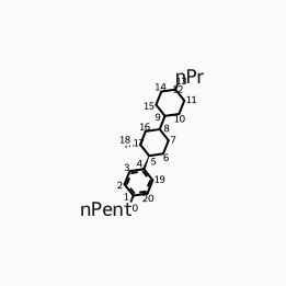 CCCCCc1ccc([C@@H]2CCC(C3CCC(CCC)CC3)C[C@H]2C)cc1